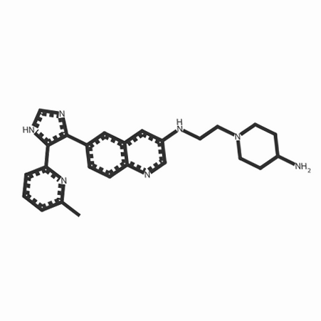 Cc1cccc(-c2[nH]cnc2-c2ccc3ncc(NCCN4CCC(N)CC4)cc3c2)n1